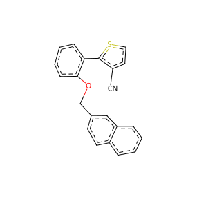 N#Cc1ccsc1-c1ccccc1OCc1ccc2ccccc2c1